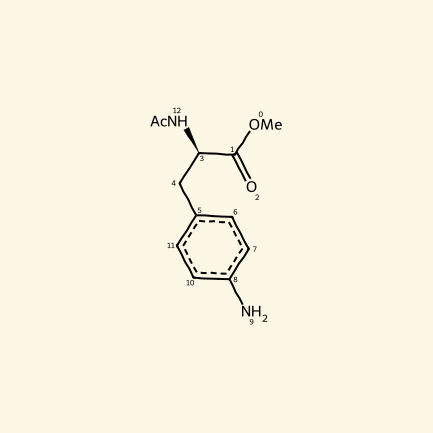 COC(=O)[C@@H](Cc1ccc(N)cc1)NC(C)=O